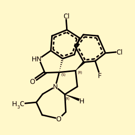 CC1COC[C@H]2C[C@H](c3cccc(Cl)c3F)[C@]3(C(=O)Nc4cc(Cl)ccc43)N2C1